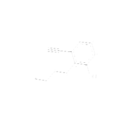 C#Cc1cccc(O)c1CCCC